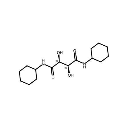 O=C(NC1CCCCC1)[C@@H](O)[C@H](O)C(=O)NC1CCCCC1